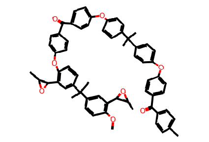 COc1ccc(C(C)(C)c2ccc(Oc3ccc(C(=O)c4ccc(Oc5ccc(C(C)(C)c6ccc(Oc7ccc(C(=O)c8ccc(C)cc8)cc7)cc6)cc5)cc4)cc3)c(C3OC3C)c2)cc1C1OC1C